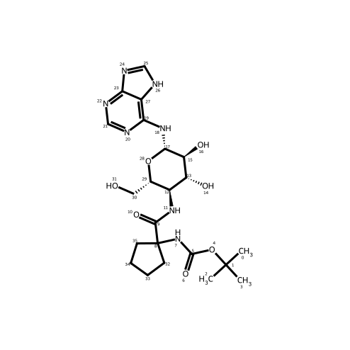 CC(C)(C)OC(=O)NC1(C(=O)N[C@@H]2[C@@H](O)[C@H](O)[C@@H](Nc3ncnc4nc[nH]c34)O[C@H]2CO)CCCC1